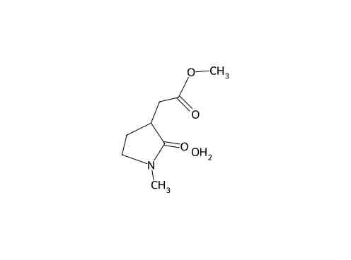 COC(=O)CC1CCN(C)C1=O.O